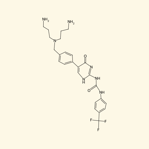 NCCCN(CCCN)Cc1ccc(-c2c[nH]c(NC(=O)Nc3ccc(C(F)(F)F)cc3)nc2=O)cc1